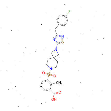 Cc1c(C(=O)O)cccc1S(=O)(=O)N1CCC2(CC1)CN(c1nc(Cc3ccc(F)cc3)ns1)C2